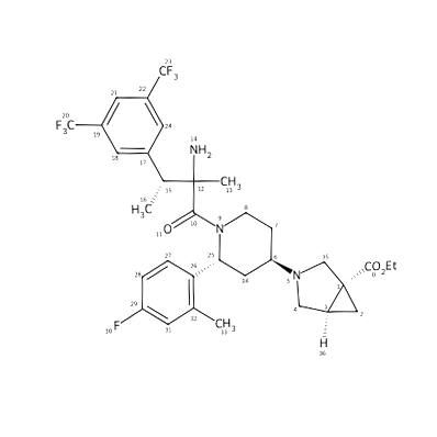 CCOC(=O)[C@]12C[C@H]1CN([C@@H]1CCN(C(=O)C(C)(N)[C@H](C)c3cc(C(F)(F)F)cc(C(F)(F)F)c3)[C@@H](c3ccc(F)cc3C)C1)C2